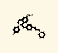 CCCCOc1ccc2c(c1)CCN(c1ccc(F)cc1)C2Cc1ccc(/C=C/CN2CCCCC2)cc1